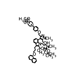 CN(CCCn1c(C(=O)O)c(CCCOc2cccc3ccccc23)c2cccc(-c3c(COc4ccc(N5CCN(S(C)(=O)=O)CC5)cc4)nn(C)c3CO)c21)C(=O)OC(C)(C)C